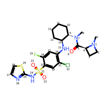 CN1CC[C@H]1C(=O)N(C)[C@H]1CCCC[C@@H]1Nc1cc(F)c(S(=O)(=O)Nc2nccs2)cc1Cl